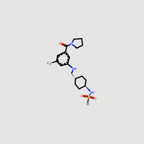 CCS(=O)(=O)N[C@H]1CC[C@H](CNc2cc(C(=O)N3CCCC3)cc(C(F)(F)F)c2)CC1